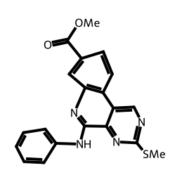 COC(=O)c1ccc2c(c1)nc(Nc1ccccc1)c1nc(SC)ncc12